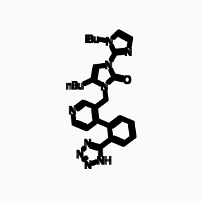 CCCCc1cn(-c2nccn2C(C)CC)c(=O)n1Cc1cnccc1-c1ccccc1-c1nnn[nH]1